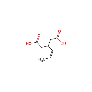 C/C=C\C(CC(=O)O)CC(=O)O